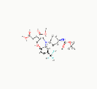 COC(=O)CCC1(C(=O)OC)COc2ccc(C(F)(F)F)cc2N([C@H]2CC[C@H](NC(=O)OC(C)(C)C)CC2)C1